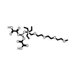 CCP(CC)(CC)(COCCOCCOCCOC)OB(OC(=O)C(=O)O)OC(=O)C(=O)O